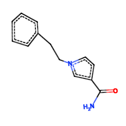 NC(=O)c1ccn(CCc2ccccc2)c1